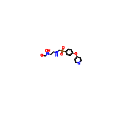 O=CN(O)CCNCS(=O)(=O)c1ccc(Oc2ccncc2)cc1